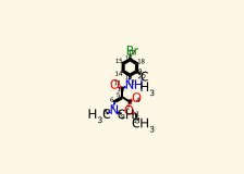 CCOC(=O)C(=CN(C)C)C(=O)Nc1ccc(Br)cc1C